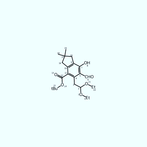 CCOC(Cc1c(C=O)c(O)c2c(c1C(=O)OC(C)(C)C)CC(C)(C)C2)OCC